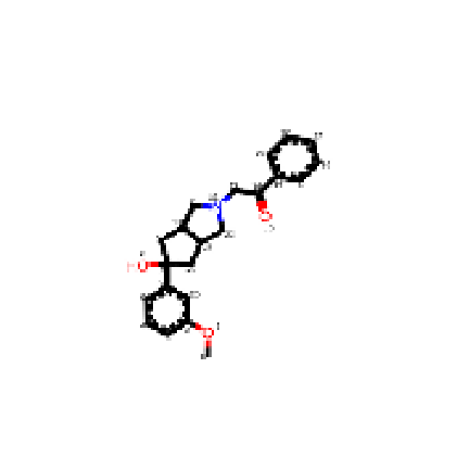 COc1cccc(C2(O)CC3CN(CC(=O)c4ccccc4)CC3C2)c1